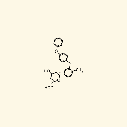 Cc1ccc([C@H]2CC(O)C[C@@H](CO)O2)cc1Cc1ccc(Oc2ccccn2)cc1